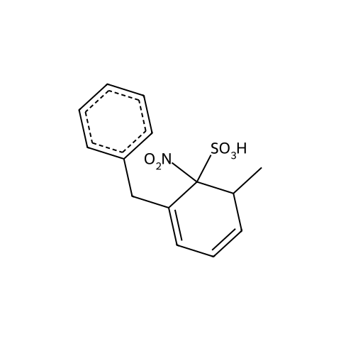 CC1C=CC=C(Cc2ccccc2)C1([N+](=O)[O-])S(=O)(=O)O